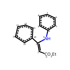 CCOC(=O)/C=C(\Nc1ccccc1)c1ccccc1